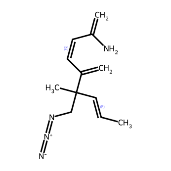 C=C(N)/C=C\C(=C)C(C)(/C=C/C)CN=[N+]=[N-]